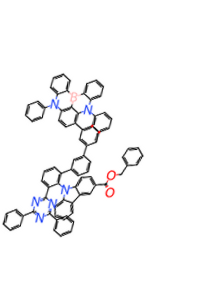 O=C(OCc1ccccc1)c1ccc2c(c1)c1ccccc1n2-c1c(-c2cccc(-c3cccc(-c4ccc5c6c4N(c4ccccc4)c4ccccc4B6c4ccccc4N5c4ccccc4)c3)c2)cccc1-c1nc(-c2ccccc2)nc(-c2ccccc2)n1